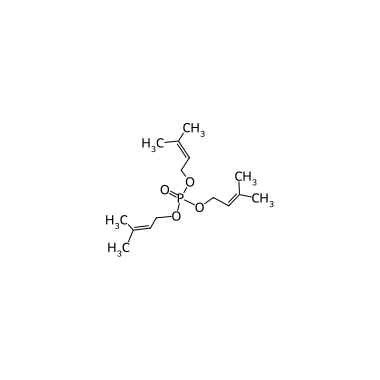 CC(C)=CCOP(=O)(OCC=C(C)C)OCC=C(C)C